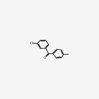 Cc1ccc(C(=O)c2cccc(Cl)c2)cc1